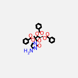 CC1(OC(=O)c2ccccc2)C(OC(=O)c2ccccc2)[C@@H](COC(=O)c2ccccc2)O[C@H]1n1ccc(N)nc1=O